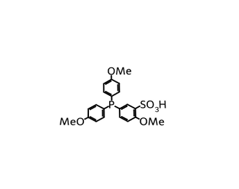 COc1ccc(P(c2ccc(OC)cc2)c2ccc(OC)c(S(=O)(=O)O)c2)cc1